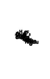 COc1ccccc1CNC(=O)c1cc(C(F)(F)F)nn1-c1cccc(N(C)C(=O)C(C)NC(=O)OC(C)(C)C)n1